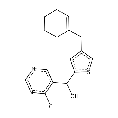 OC(c1cc(CC2=CCCCC2)cs1)c1cncnc1Cl